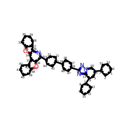 c1ccc(-c2cc(-c3ccccc3)c3nc(-c4ccc(-c5ccc(-c6nc7c8ccccc8oc7c7c6oc6ccccc67)cc5)cc4)nn3c2)cc1